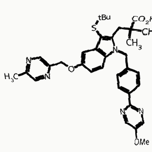 COc1cnc(-c2ccc(Cn3c(CC(C)(C)C(=O)O)c(SC(C)(C)C)c4cc(OCc5cnc(C)cn5)ccc43)cc2)nc1